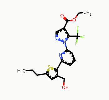 CCCc1cc(CO)c(-c2cccc(-n3ncc(C(=O)OCC)c3C(F)(F)F)n2)s1